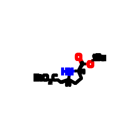 CCOC(=O)C[C@@H]1CC[C@H](C(=O)OC(C)(C)C)N1